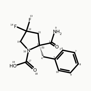 NC(=O)[C@]1(Cc2ccccc2)CC(F)(F)CN1C(=O)O